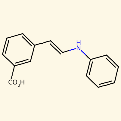 O=C(O)c1cccc(C=CNc2ccccc2)c1